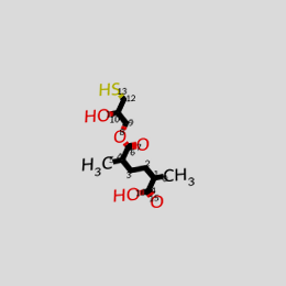 CC(CCC(C)C(=O)OCC(O)CS)C(=O)O